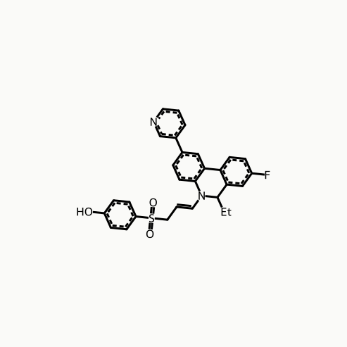 CCC1c2cc(F)ccc2-c2cc(-c3cccnc3)ccc2N1C=CCS(=O)(=O)c1ccc(O)cc1